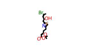 C/C(Br)=C\[C@H](O)Cc1nc(CCC2=CC(=O)OC(C)(C)O2)cs1